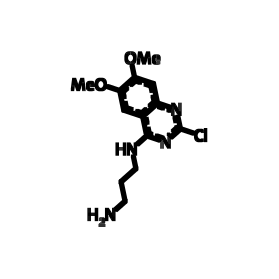 COc1cc2nc(Cl)nc(NCCCN)c2cc1OC